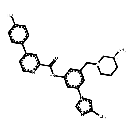 Cc1cn(-c2cc(CN3CCC[C@H](N)C3)cc(NC(=O)c3cc(-c4ccc(O)cc4)ccn3)c2)cn1